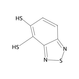 Sc1ccc2nsnc2c1S